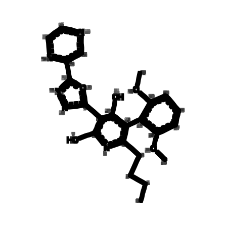 CCCCc1nc(O)c(-c2nnc(-c3cnccn3)o2)c(O)c1-c1c(OC)cccc1OC